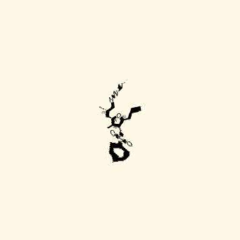 C=CC[C@@H]1O[C@H](C[C@H](C)CN=[N+]=[N-])[C@H](C)[C@H]1CS(=O)(=O)c1ccccc1